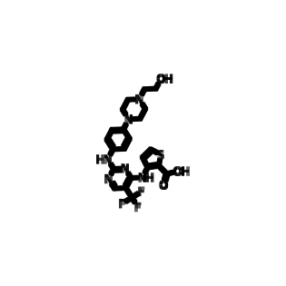 O=C(O)c1sccc1Nc1nc(Nc2ccc(N3CCN(CCO)CC3)cc2)ncc1C(F)(F)F